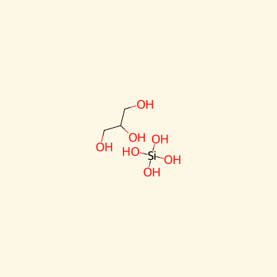 OCC(O)CO.O[Si](O)(O)O